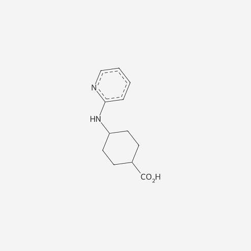 O=C(O)C1CCC(Nc2ccccn2)CC1